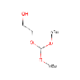 CCCCOC(OCCO)OCCCC